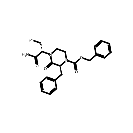 CC(C)C[C@@H](C(N)=O)N1CCN(C(=O)OCc2ccccc2)[C@@H](Cc2ccccc2)C1=O